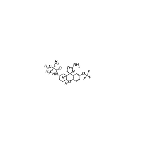 CC(C)(C)C(=O)N[C@H]1CC[C@@H]2Oc3ccc(OC(F)(F)F)cc3[C@]3(COC(N)=N3)[C@H]2C1